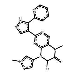 CCC1C(=O)N(C)c2cnc(-c3cn[nH]c3-c3ccccn3)nc2N1c1cnn(C)c1